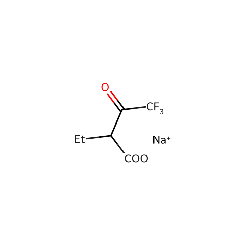 CCC(C(=O)[O-])C(=O)C(F)(F)F.[Na+]